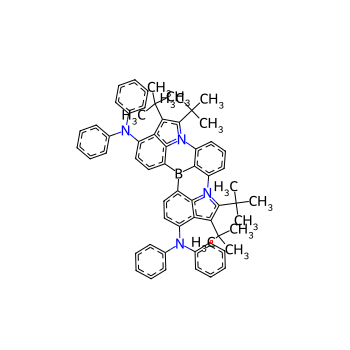 CC(C)(C)c1c(C(C)(C)C)n2c3c(ccc(N(c4ccccc4)c4ccccc4)c13)B1c3c-2cccc3-n2c(C(C)(C)C)c(C(C)(C)C)c3c(N(c4ccccc4)c4ccccc4)ccc1c32